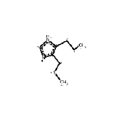 CCCc1[nH]cnc1CSC